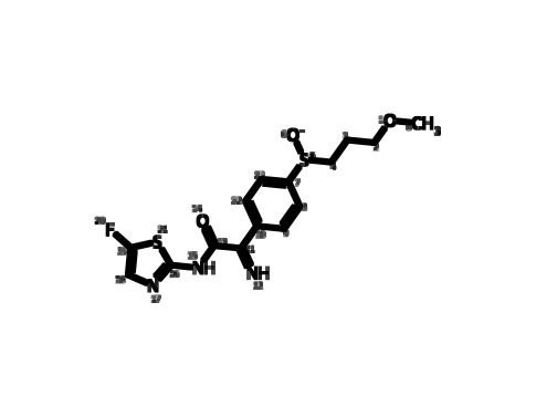 COCCC[S+]([O-])c1ccc(C(=N)C(=O)Nc2ncc(F)s2)cc1